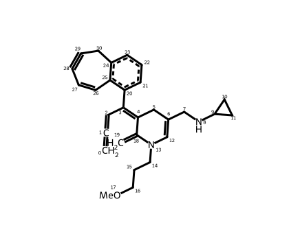 C=C=C/C(=C1/CC(CNC2CC2)=CN(CCCOC)C1=C)c1cccc2c1C=CC#CC2